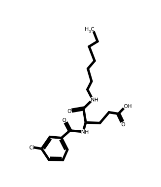 CCCCCCCNC(=O)C(CCC(=O)O)NC(=O)c1cccc(Cl)c1